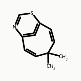 CC1(C)/C=C\C2=C=C(/C=C\1)SC=N2